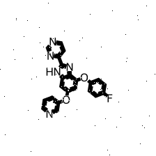 Fc1ccc(Oc2cc(Oc3cccnc3)cc3[nH]c(-c4ccncn4)nc23)cc1